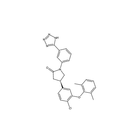 Cc1cccc(C)c1Oc1cc([C@H]2CC(=O)N(c3cccc(-c4nnn[nH]4)c3)C2)ccc1Cl